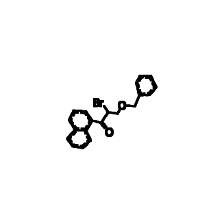 O=C(c1cccc2ccccc12)C(Br)COCc1ccccc1